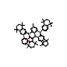 Cc1cc2c3c(c1)N(c1cc4c(cc1-c1ccccc1)C(C)(C)CCC4(C)C)c1sc4c(c1B3c1cc3c(cc1N2c1ccc2c(c1)C(C)(C)CCC2(C)C)C1(C)CCC3(C)C1)C(C)(C)CCC4(C)C